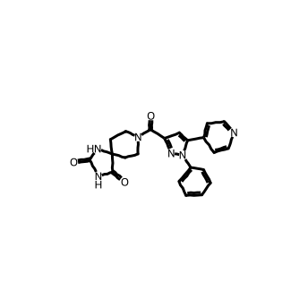 O=C1NC(=O)C2(CCN(C(=O)c3cc(-c4ccncc4)n(-c4ccccc4)n3)CC2)N1